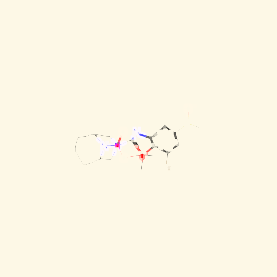 C[S+]([O-])c1cc(Br)c2oc(N3CC4CCCC(C3)N4C(=O)OC(C)(C)C)nc2c1